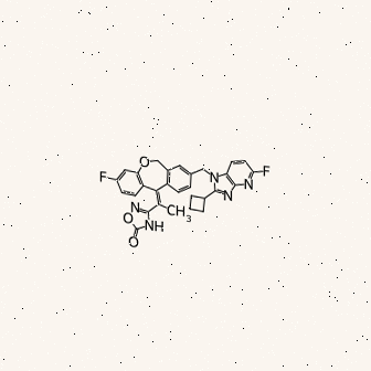 CC(=C1c2ccc(Cn3c(C4CCC4)nc4nc(F)ccc43)cc2COc2cc(F)ccc21)c1noc(=O)[nH]1